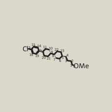 COCCCC[C@H]1CC[C@H]([C@H]2CC[C@H](c3ccc(Cl)cc3)CC2)CC1